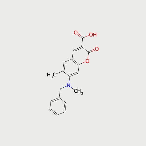 Cc1cc2cc(C(=O)O)c(=O)oc2cc1N(C)Cc1ccccc1